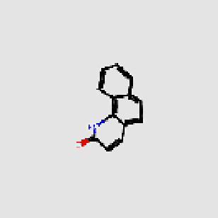 O=c1[c]cc2ccc3ccccc3c2[nH]1